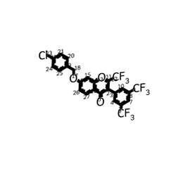 O=c1c(-c2cc(C(F)(F)F)cc(C(F)(F)F)c2)c(C(F)(F)F)oc2cc(OCc3ccc(Cl)cc3)ccc12